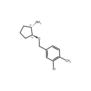 CCc1cc(CO[C@H]2CCC[C@@H]2N)ccc1C